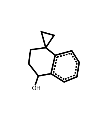 OC1CCC2(CC2)c2ccccc21